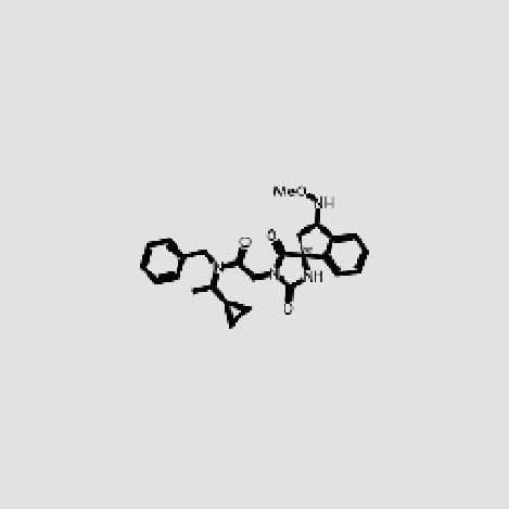 CONC1C[C@]2(NC(=O)N(CC(=O)N(Cc3ccccc3)C(C)C3CC3)C2=O)c2ccccc21